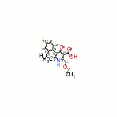 CCOCc1[nH]c(C)c(-c2ccc(F)cc2C)c(=O)c1C(=O)O